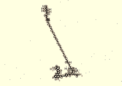 CC[C@@]1(O)C(=O)OCc2c1cc1n(c2=O)Cc2c-1nc1cc(F)c(C)c3c1c2[C@@H](NC(=O)OCc1ccc(NC(=O)[C@H](CCCNC(N)=O)NC(=O)[C@@H](NC(=O)[C@@H](N)CCCCNC(=O)CCOCCOCCOCCOCCOCCOCCOCCOCCOCCOCCOCCOCCn2cc(CCC(=O)NC[C@H](O)[C@@H](O)[C@H](O)[C@H](O)CO)nn2)C(C)C)cc1)CC3